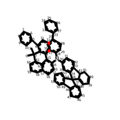 CC1(C)c2c(-c3ccccc3)cccc2-c2c(N(c3ccc(-c4ccccc4)cc3)c3ccc4c(c3)C3(C5=CC=CCC54)c4ccccc4-c4ccccc43)ccc3cccc1c23